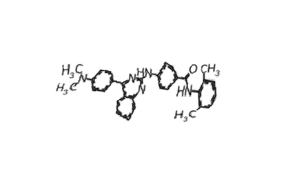 Cc1cccc(C)c1NC(=O)c1ccc(Nc2nc(-c3ccc(N(C)C)cc3)c3ccccc3n2)cc1